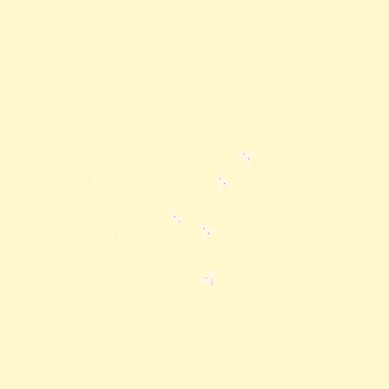 C=CC(=O)N1CC2Cc3c(c4cc(Cl)c(-c5cc(O)cc(Cl)c5Cl)nc4n(-c4c(C)ccnc4C(C)C)c3=O)N2CC1C